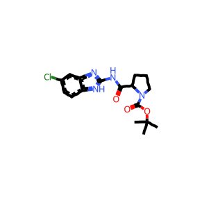 CC(C)(C)OC(=O)N1CCCC1C(=O)Nc1nc2cc(Cl)ccc2[nH]1